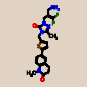 Cc1nn(CC(CN)=C(F)F)c(=O)n1Cc1ccc(-c2ccc3c(c2)CCC(=O)N3C)s1